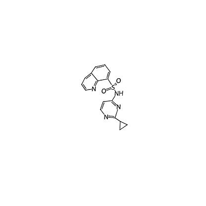 O=S(=O)(Nc1ccnc(C2CC2)n1)c1cccc2cccnc12